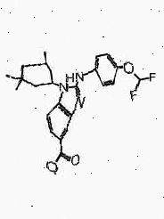 COC(=O)c1ccc2c(c1)nc(Nc1ccc(OC(F)F)cc1)n2C1C[C@H](C)CC(C)(C)C1